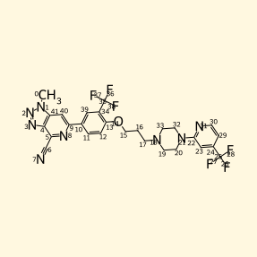 Cn1nnc2c(C#N)nc(-c3ccc(OCCCN4CCN(c5cc(C(F)(F)F)ccn5)CC4)c(C(F)(F)F)c3)cc21